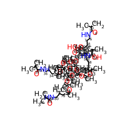 C=C(C)C(=O)NCCC[SiH](C)O[Si](C)(O)O[Si](C)(C)O[Si](C)(O[Si](C)(C)O[Si](C)(C)O[Si](C)(C)CCCNC(=O)C(=C)C)O[Si](C)(O[Si](C)(C)O[Si](C)(C)O[SiH](C)CCCNC(O)C(=C)C)O[Si](C)(C)O[Si](C)(C)O[Si](C)(C)CCCNC(=O)C(=C)C